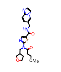 COCCC(=O)N(CC1CCOC1)c1ncc(C(=O)NCc2ccc3nccn3c2)s1